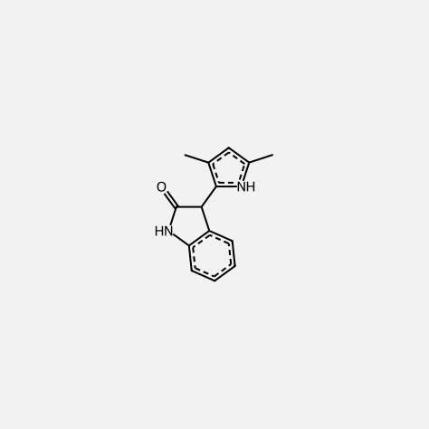 Cc1cc(C)c(C2C(=O)Nc3ccccc32)[nH]1